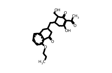 CCCOc1cccc2c1C(=O)CC(CC1CC(O)=C(C(C)=O)C(=O)C1CO)C2